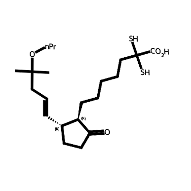 CCCOC(C)(C)CC=C[C@H]1CCC(=O)[C@@H]1CCCCCC(S)(S)C(=O)O